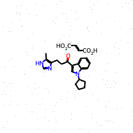 Cc1[nH]cnc1CCC(=O)c1cn(C2CCCC2)c2ccccc12.O=C(O)C=CC(=O)O